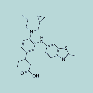 CCCN(CC1CC1)c1ccc(C(CC)CC(=O)O)cc1Nc1ccc2nc(C)sc2c1